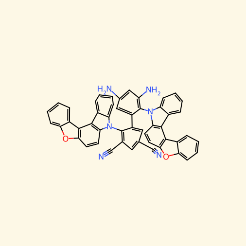 N#Cc1cc(C#N)c(-n2c3ccccc3c3c4c(ccc32)oc2ccccc24)c(-c2cc(N)cc(N)c2-n2c3ccccc3c3c4c(ccc32)oc2ccccc24)c1